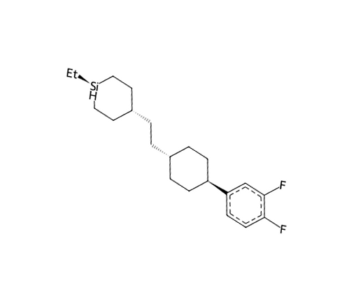 CC[Si@H]1CC[C@H](CC[C@H]2CC[C@H](c3ccc(F)c(F)c3)CC2)CC1